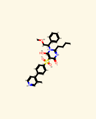 CCCCc1nc(=O)c(S(=O)(=O)c2ccc(-c3ccncc3C)cc2)c(O)n1C(COC)c1ccccc1